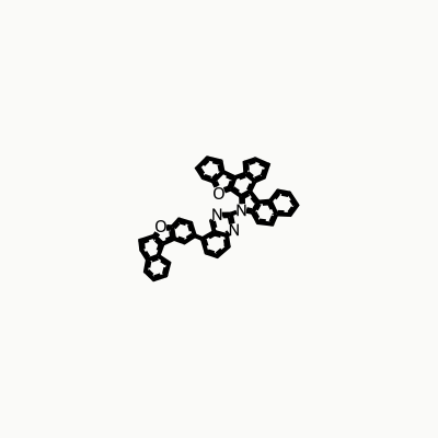 c1ccc2c(c1)ccc1oc3ccc(-c4cccc5nc(-n6c7ccc8ccccc8c7c7c8ccccc8c8c9ccccc9oc8c76)ncc45)cc3c12